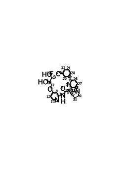 O=C(Nc1cc(OC[C@H](O)CO)ccn1)N1c2nc(-c3cccc(C(F)(F)F)c3)ccc2N2CCC1C2